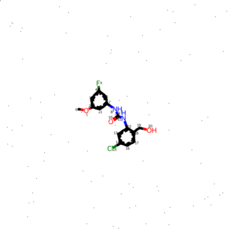 COc1cc(F)cc(NC(=O)Nc2cc(Cl)ccc2CO)c1